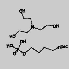 CCCCCCCCCCCCCCOP(=O)(O)O.OCCN(CCO)CCO